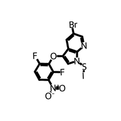 O=[N+]([O-])c1ccc(F)c(Oc2cn(SI)c3ncc(Br)cc23)c1F